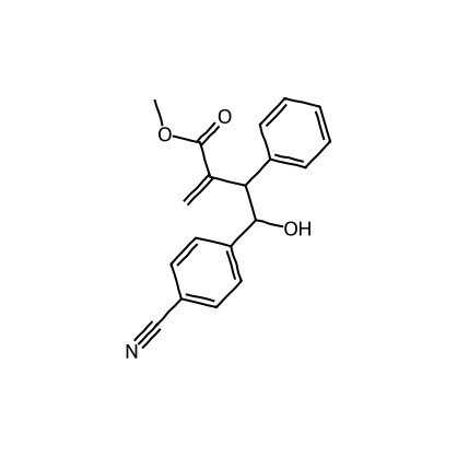 C=C(C(=O)OC)C(c1ccccc1)C(O)c1ccc(C#N)cc1